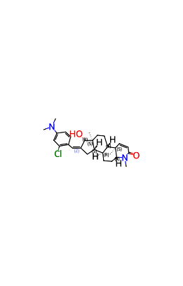 CN(C)c1ccc(/C=C2/C[C@H]3[C@@H]4CC[C@H]5N(C)C(=O)C=C[C@]5(C)[C@H]4CC[C@]3(C)[C@H]2O)c(Cl)c1